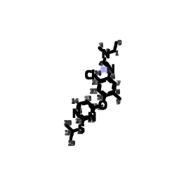 CCN(C)/C=N/c1cc(C)c(Oc2ccnc(SC(C)C)n2)cc1Cl